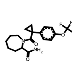 NC(=O)C1CCCCCN1C(=O)C1(c2ccc(OC(F)(F)F)cc2)CC1